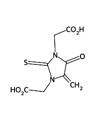 C=C1C(=O)N(CC(=O)O)C(=S)N1CC(=O)O